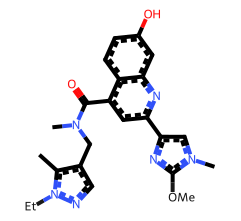 CCn1ncc(CN(C)C(=O)c2cc(-c3cn(C)c(OC)n3)nc3cc(O)ccc23)c1C